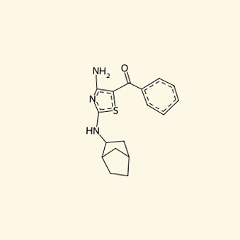 Nc1nc(NC2CC3CCC2C3)sc1C(=O)c1ccccc1